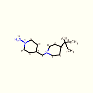 CC(C)(C)C1CCN(CC2CCN(N)CC2)CC1